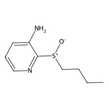 CCCC[S+]([O-])c1ncccc1N